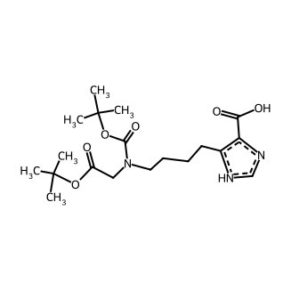 CC(C)(C)OC(=O)CN(CCCCc1[nH]cnc1C(=O)O)C(=O)OC(C)(C)C